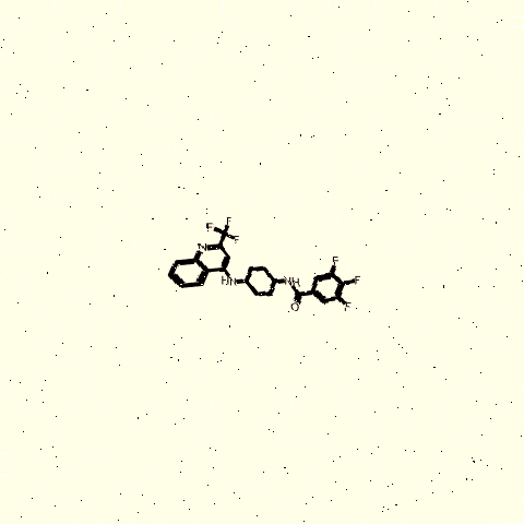 O=C(NC1CCC(Nc2cc(C(F)(F)F)nc3ccccc23)CC1)c1cc(F)c(F)c(F)c1